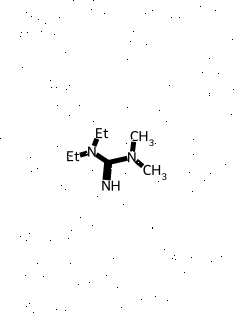 CCN(CC)C(=N)N(C)C